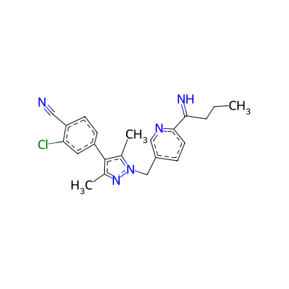 CCCC(=N)c1ccc(Cn2nc(C)c(-c3ccc(C#N)c(Cl)c3)c2C)cn1